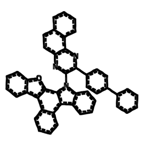 c1ccc(-c2ccc(-c3nc4c(ccc5ccccc54)nc3-n3c4ccccc4c4c5ccccc5c5c6ccccc6oc5c43)cc2)cc1